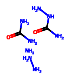 N.NC(N)=O.NN.NNC(N)=O